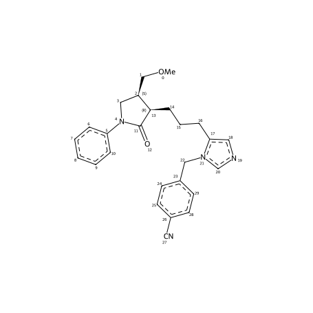 COC[C@@H]1CN(c2ccccc2)C(=O)[C@@H]1CCCc1cncn1Cc1ccc(C#N)cc1